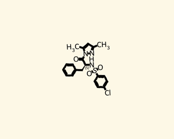 Cc1cc(C)n(C(=O)[C@H](Cc2ccccc2)NS(=O)(=O)c2ccc(Cl)cc2)n1